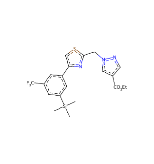 CCOC(=O)c1cnn(Cc2nc(-c3cc(C(F)(F)F)cc([Si](C)(C)C)c3)cs2)c1